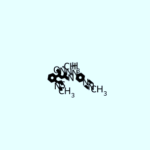 CCn1c(=O)c(-c2ccccc2-c2csc(C)n2)cc2cnc(Nc3ccc(N4CCN(C)CC4)cc3)nc21